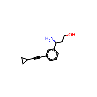 NC(CCO)c1cccc(C#CC2CC2)c1